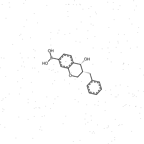 OB(O)c1ccc2c(c1)OC[C@@H](Cc1ccccc1)[C@H]2O